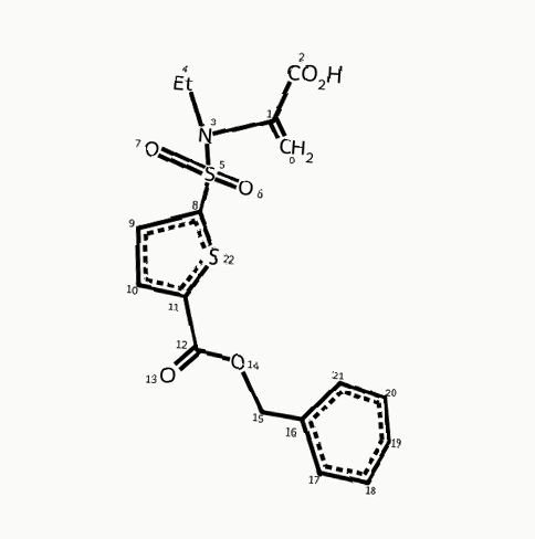 C=C(C(=O)O)N(CC)S(=O)(=O)c1ccc(C(=O)OCc2ccccc2)s1